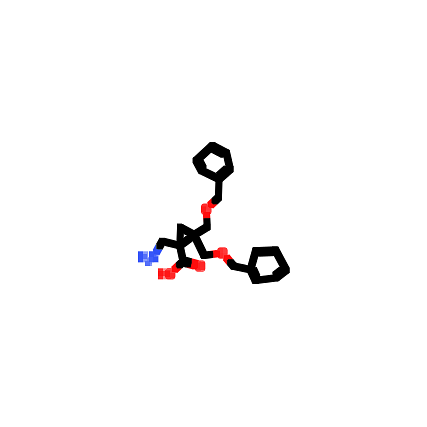 NCC1(C(=O)O)CC1(COCc1ccccc1)COCc1ccccc1